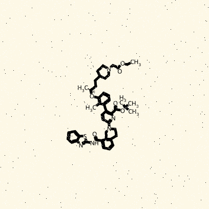 CCOC(=O)CN1CCC(CC[C@@H](C)Oc2cccc(-c3ccc(N4CCc5cccc(C(=O)Nc6nc7ccccc7s6)c5C4)nc3C(=O)OC(C)(C)C)c2C)CC1